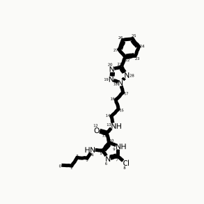 CCCCNc1nc(Cl)[nH]c1C(=O)NCCCCn1nnc(-c2ccccc2)n1